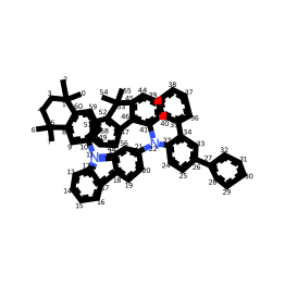 CC1(C)CCC(C)(C)c2cc(-n3c4ccccc4c4ccc(N(c5ccc(-c6ccccc6)cc5-c5ccccc5)c5cccc6c5-c5ccccc5C6(C)C)cc43)ccc21